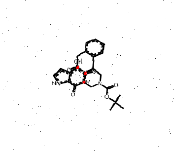 CC(C)(C)OC(=O)N1CCN(C(=O)O)C(c2ccccc2Cn2c(=S)[nH]c(=O)c3[nH]ccc32)C1